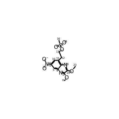 COc1nc2cc([N+](=O)[O-])cc(CCOS(C)(=O)=O)c2nc1OC